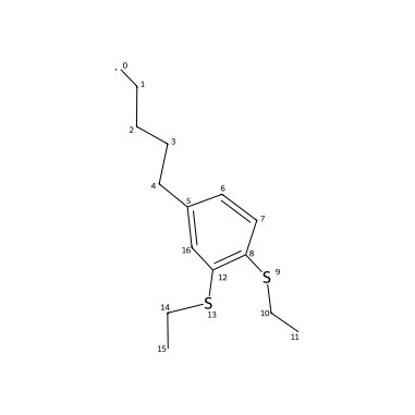 [CH2]CCCCc1ccc(SCC)c(SCC)c1